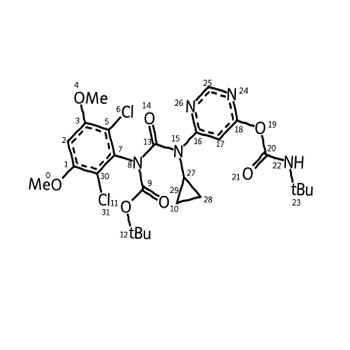 COc1cc(OC)c(Cl)c(N(C(=O)OC(C)(C)C)C(=O)N(c2cc(OC(=O)NC(C)(C)C)ncn2)C2CC2)c1Cl